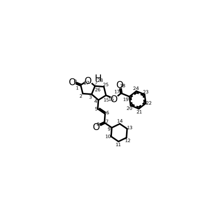 O=C1CC2C(/C=C/C(=O)C3CCCCC3)C(OC(=O)c3ccccc3)C[C@@H]2O1